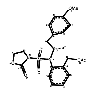 COc1ccc(C[C@H](C)N(c2ccccc2COC(C)=O)S(=O)(=O)N2CCOC2=O)cc1